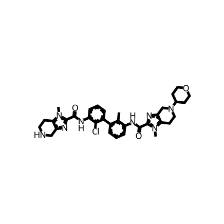 Cc1c(NC(=O)c2nc3c(n2C)CCN(C2CCOCC2)C3)cccc1-c1cccc(NC(=O)c2nc3c(n2C)CCNC3)c1Cl